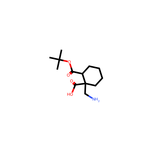 CC(C)(C)OC(=O)C1CCCCC1(CN)C(=O)O